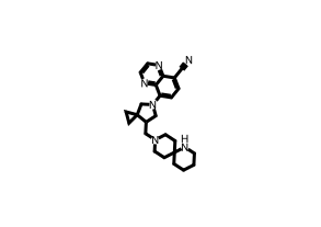 N#Cc1ccc(N2CC(CN3CCC4(CCCCN4)CC3)C3(CC3)C2)c2nccnc12